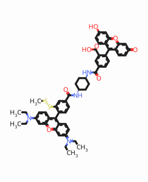 CCN(CC)c1ccc2c(-c3ccc(C(=O)N[C@H]4CC[C@H](NC(=O)c5ccc(-c6c7ccc(=O)cc-7oc7cc(O)ccc67)c(C(=O)O)c5)CC4)cc3SSC)c3ccc(=[N+](CC)CC)cc-3oc2c1